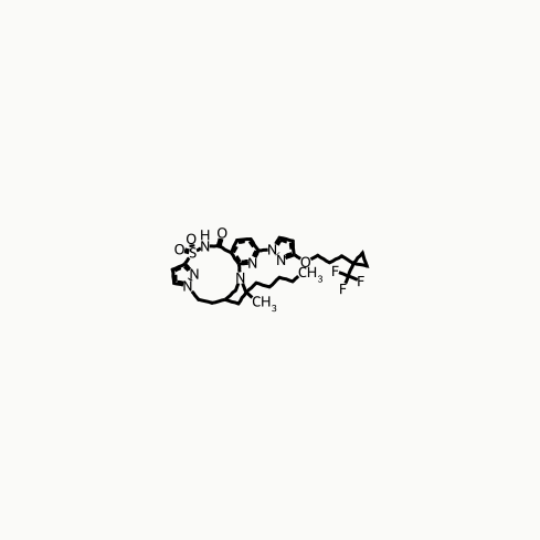 CCCCCC1(C)CC2CCn3ccc(n3)S(=O)(=O)NC(=O)c3ccc(-n4ccc(OCCCC5(C(F)(F)F)CC5)n4)nc3N1C2